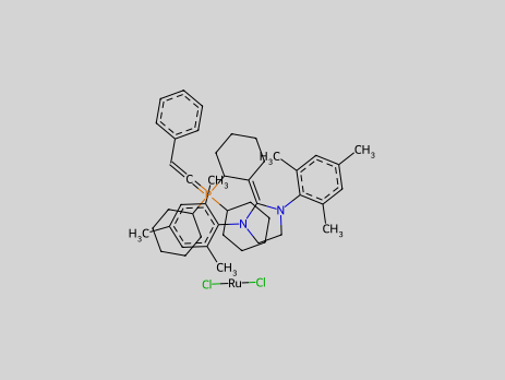 Cc1cc(C)c(N2CCN(c3c(C)cc(C)cc3C)C2=C2CCCCC2P(=C=Cc2ccccc2)(C2CCCCC2)C2CCCCC2)c(C)c1.[Cl][Ru][Cl]